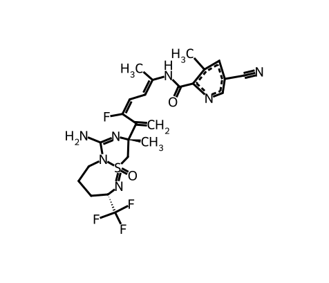 C=C(/C(F)=C\C=C(/C)NC(=O)c1ncc(C#N)cc1C)[C@]1(C)CS2(=O)=N[C@H](C(F)(F)F)CCCN2C(N)=N1